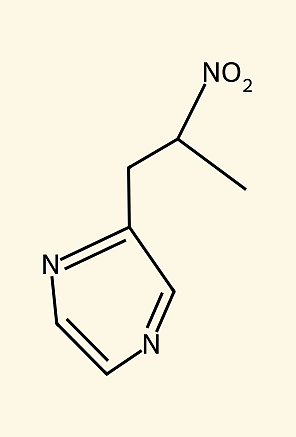 CC(Cc1cnccn1)[N+](=O)[O-]